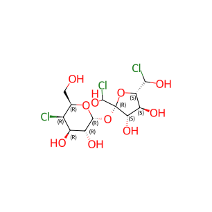 OC[C@H]1O[C@H](O[C@]2(C(O)Cl)O[C@H](C(O)Cl)[C@@H](O)[C@@H]2O)[C@H](O)[C@@H](O)[C@H]1Cl